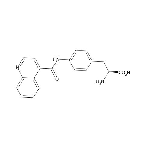 N[C@@H](Cc1ccc(NC(=O)c2ccnc3ccccc23)cc1)C(=O)O